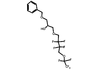 O[C@@H](COCc1ccccc1)COCC(F)(F)C(F)(F)COC(F)(F)C(F)(F)F